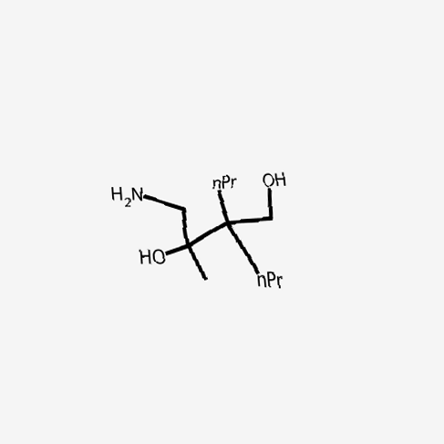 CCCC(CO)(CCC)C(C)(O)CN